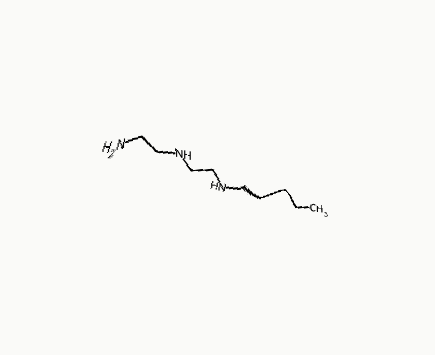 CCCCCNCCNCCN